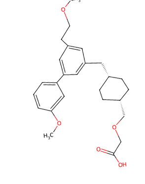 COCCc1cc(C[C@H]2CC[C@@H](COCC(=O)O)CC2)cc(-c2cccc(OC)c2)c1